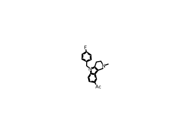 CC(=O)c1ccc2c(c1)c1c(n2Cc2ccc(F)cc2)CCN(C)C1